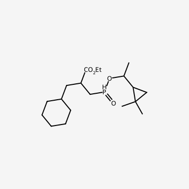 CCOC(=O)C(CC1CCCCC1)C[PH](=O)OC(C)C1CC1(C)C